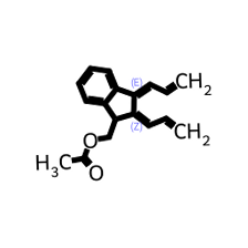 C=C/C=C1\C(=C/C=C)c2ccccc2C1COC(C)=O